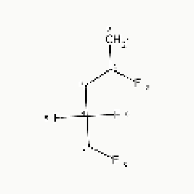 [CH2]C(F)CC(F)(F)CF